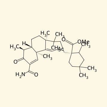 COC(=O)[C@]1(CCC(C)(C)[C@]2(C)CC[C@H]3[C@H](C)C(=O)C(C(N)=O)=C[C@]3(C)/C2=C/C(C)=O)CCC(C)(C)CC1C